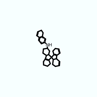 C1=CC2=C(CC1)C1(C3=C(CCCC3)C3CCC(Nc4ccc5c(c4)CCC=C5)CC31)C1CCC=CC21